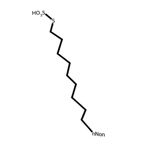 CCCCCCCCCCCCCCCCCCSS(=O)(=O)O